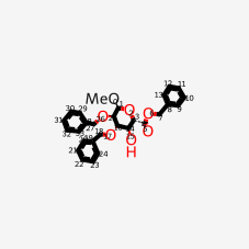 CO[C@@H]1O[C@H](C(=O)OCc2ccccc2)[C@@H](O)[C@H](OCc2ccccc2)[C@H]1OCc1ccccc1